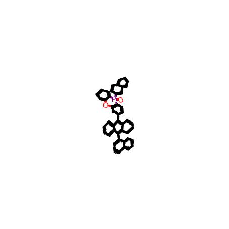 O=P1(c2ccc3ccccc3c2)c2ccccc2Oc2cc(-c3c4ccccc4c(-c4cccc5ccccc45)c4ccccc34)ccc21